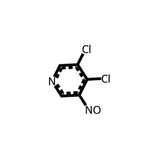 O=Nc1cncc(Cl)c1Cl